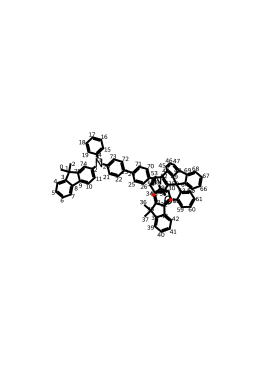 CC1(C)c2ccccc2-c2ccc(N(c3ccccc3)c3ccc(-c4ccc(N(c5ccc6c(c5)C(C)(C)c5ccccc5-6)c5cccc6c5C5(c7ccccc7Oc7ccccc75)c5ccccc5-6)cc4)cc3)cc21